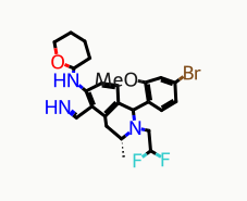 COc1cc(Br)ccc1C1c2ccc(NC3CCCCO3)c(C=N)c2C[C@@H](C)N1CC(F)F